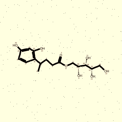 CC(CCC(=O)OC[C@@H](O)[C@H](O)[C@@H](O)CO)c1ccc(O)cc1O